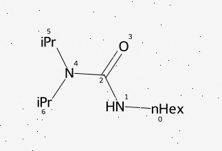 CCCCCCNC(=O)N(C(C)C)C(C)C